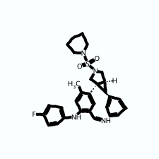 Cc1cc(Nc2ccc(F)cc2)c(C=N)cc1[C@]12CN(S(=O)(=O)N3CCCCC3)C[C@H]1[C@@H]2c1ccccc1